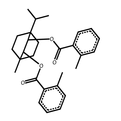 Cc1ccccc1C(=O)OC1C(OC(=O)c2ccccc2C)C2(C(C)C)CCC1(C)CC2